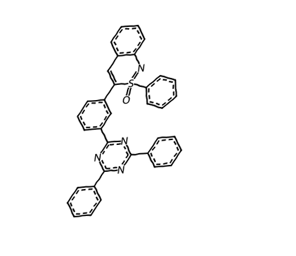 O=S1(c2ccccc2)=Nc2ccccc2C=C1c1cccc(-c2nc(-c3ccccc3)nc(-c3ccccc3)n2)c1